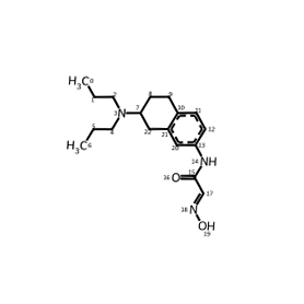 CCCN(CCC)C1CCc2ccc(NC(=O)C=NO)cc2C1